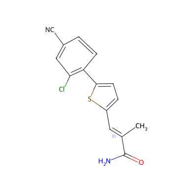 C/C(=C\c1ccc(-c2ccc(C#N)cc2Cl)s1)C(N)=O